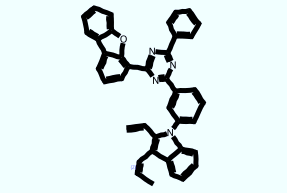 C=Cc1c(/C=C\C)c2ccccc2n1-c1cccc(-c2nc(-c3ccccc3)nc(-c3cccc4c3oc3ccccc34)n2)c1